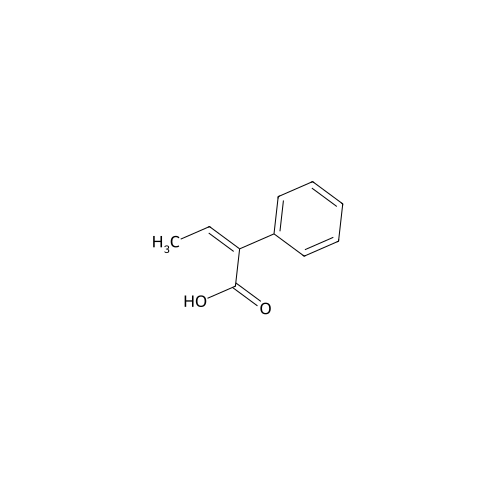 CC=C(C(=O)O)c1ccccc1